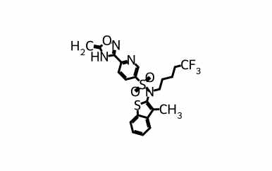 C=C1NC(c2ccc(S(=O)(=O)N(CCCCC(F)(F)F)c3sc4ccccc4c3C)cn2)=NO1